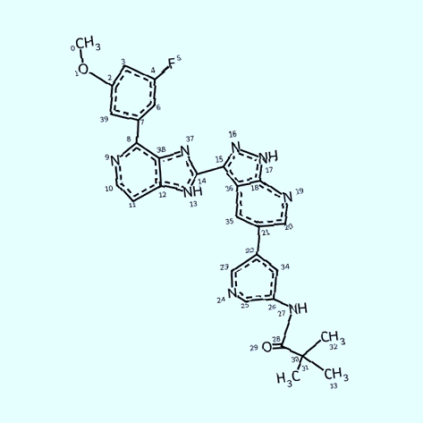 COc1cc(F)cc(-c2nccc3[nH]c(-c4n[nH]c5ncc(-c6cncc(NC(=O)C(C)(C)C)c6)cc45)nc23)c1